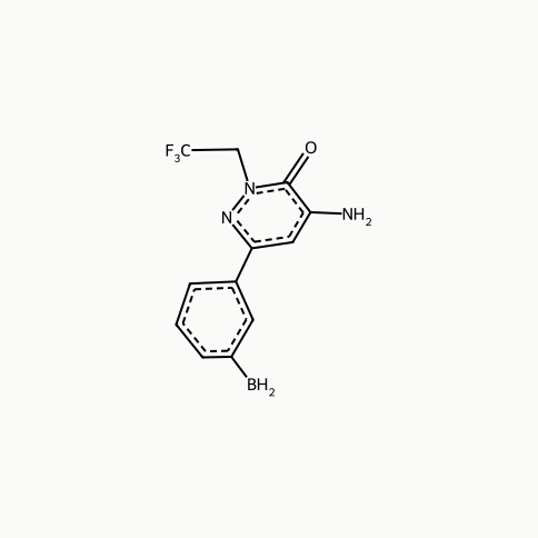 Bc1cccc(-c2cc(N)c(=O)n(CC(F)(F)F)n2)c1